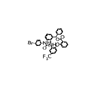 O=C(Nc1ccc(Br)cc1)Nc1cc(C(F)(F)F)ccc1Oc1ccccc1C(=O)OC(c1ccccc1)c1ccccc1